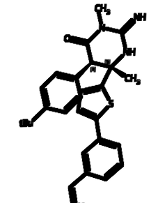 CN1C(=N)N[C@](C)(c2ccc(-c3cccc(C=N)c3)s2)[C@@H](c2ccc(C(C)(C)C)cc2)C1=O